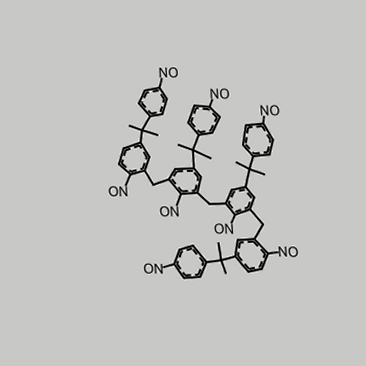 CC(C)(c1ccc(N=O)cc1)c1ccc(N=O)c(Cc2cc(C(C)(C)c3ccc(N=O)cc3)cc(Cc3cc(C(C)(C)c4ccc(N=O)cc4)cc(Cc4cc(C(C)(C)c5ccc(N=O)cc5)ccc4N=O)c3N=O)c2N=O)c1